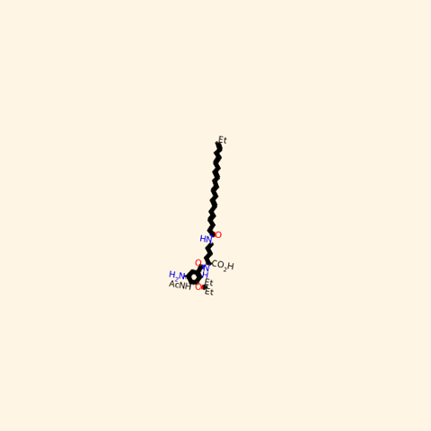 CCC=CCC=CCC=CCC=CCC=CCC=CCCC(=O)NCCCC[C@H](NC(=O)C1=C[C@@H](OC(CC)CC)[C@H](NC(C)=O)[C@@H](N)C1)C(=O)O